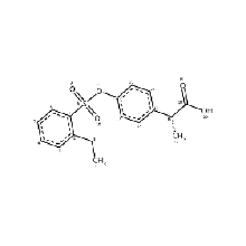 CCc1ccccc1S(=O)(=O)Oc1ccc([C@@H](C)C(=O)O)cc1